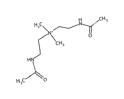 CC(=O)NCC[N+](C)(C)CCNC(C)=O